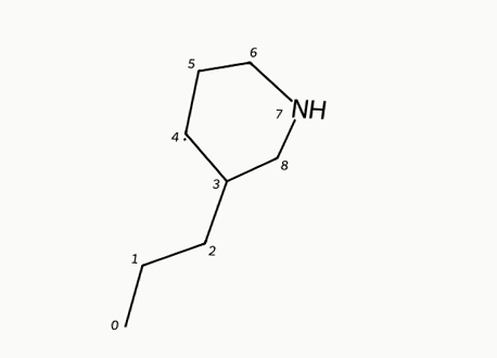 CCCC1[CH]CCNC1